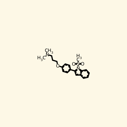 CN(C)CCCOc1ccc(-c2cc3ccccc3n2S(C)(=O)=O)cc1